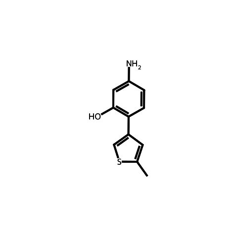 Cc1cc(-c2ccc(N)cc2O)cs1